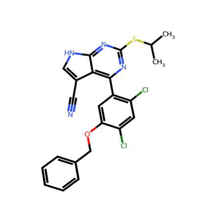 CC(C)Sc1nc(-c2cc(OCc3ccccc3)c(Cl)cc2Cl)c2c(C#N)c[nH]c2n1